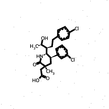 C[C@H](O)[C@@H](CCc1ccc(Cl)cc1)[C@H]1NC(=O)[C@@](C)(CC(=O)O)C[C@@H]1c1cccc(Cl)c1